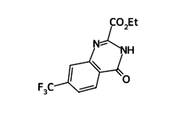 CCOC(=O)c1nc2cc(C(F)(F)F)ccc2c(=O)[nH]1